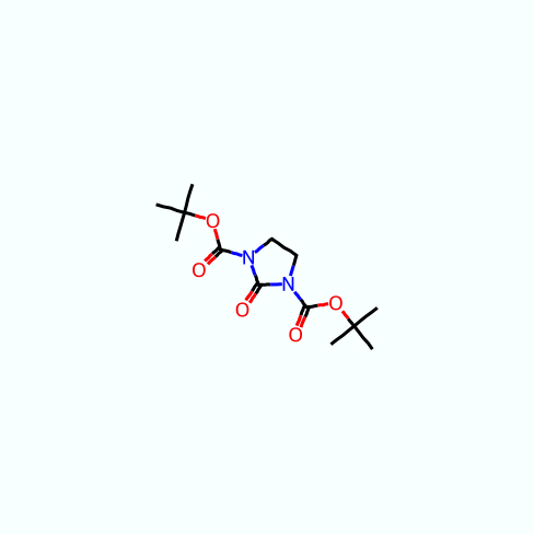 CC(C)(C)OC(=O)N1CCN(C(=O)OC(C)(C)C)C1=O